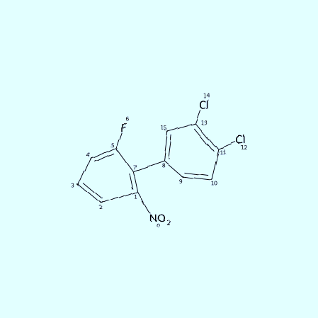 O=[N+]([O-])c1cccc(F)c1-c1ccc(Cl)c(Cl)c1